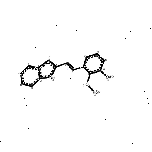 CCCCOc1c(/C=C/c2nc3ccccc3[nH]2)cccc1OC